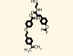 CN(C)c1ccc(CCOc2ccc(C(=O)N/C(=C\c3ccc(OC(F)F)cc3)C(=O)NCCO)cc2)cc1